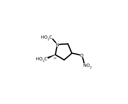 O=C(O)[C@@H]1CC(O[N+](=O)[O-])CN1C(=O)O